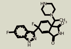 CC(N1CCNCC1)C12C=CC(F)(c3n[nH]c4cc(F)ccc34)C=C1C(=O)NC2=O